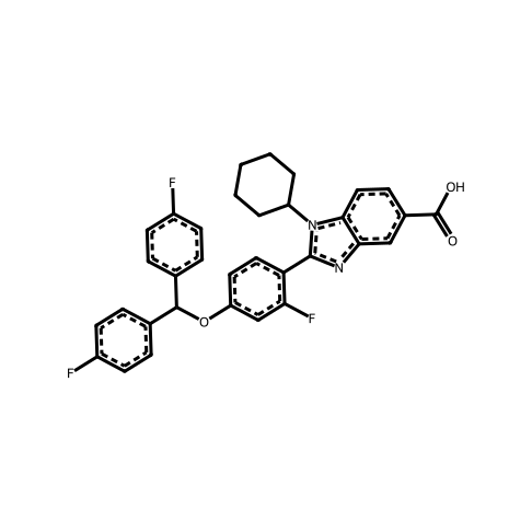 O=C(O)c1ccc2c(c1)nc(-c1ccc(OC(c3ccc(F)cc3)c3ccc(F)cc3)cc1F)n2C1CCCCC1